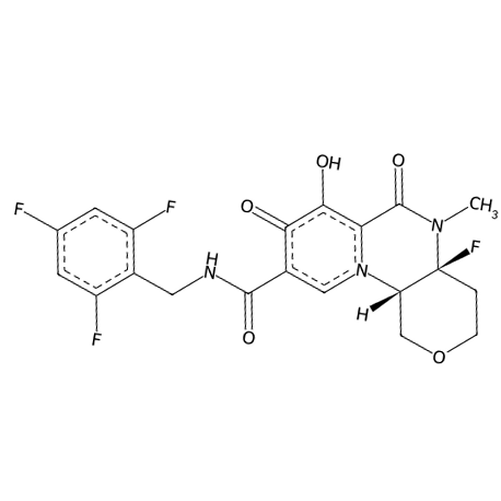 CN1C(=O)c2c(O)c(=O)c(C(=O)NCc3c(F)cc(F)cc3F)cn2[C@H]2COCC[C@]21F